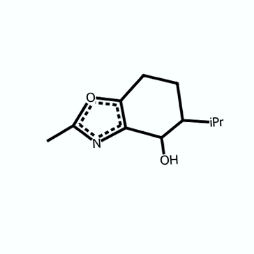 Cc1nc2c(o1)CCC(C(C)C)C2O